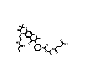 CCC(=O)NCCN1C(=O)C(C)(C)Oc2cc(C)c(C(=O)N(C(C)C)[C@@H]3CCCN(C(=O)OC(C)OC(=O)CCC(=O)O)C3)cc21